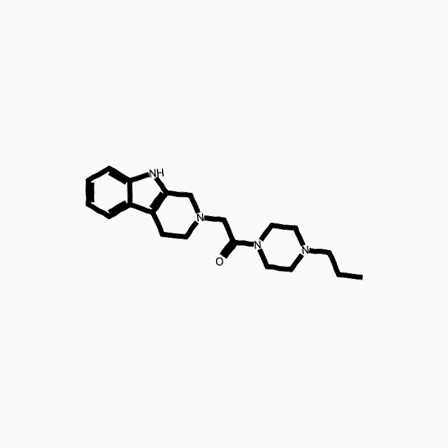 CCCN1CCN(C(=O)CN2CCc3c([nH]c4ccccc34)C2)CC1